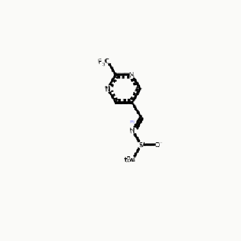 [CH2]C(C)(C)[S+]([O-])/N=C/c1cnc(C(F)(F)F)nc1